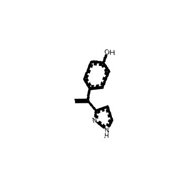 C=C(c1ccc(O)cc1)c1cc[nH]n1